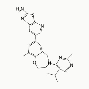 Cc1ncc(C(C)C)c(N2CCOc3c(C)cc(-c4cnc5sc(N)nc5c4)cc3C2)n1